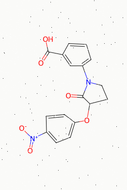 O=C(O)c1cccc(N2CCC(Oc3ccc([N+](=O)[O-])cc3)C2=O)c1